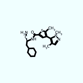 Cc1cnn(C)c1-c1cc(C(=O)N[C@H](CN)CC2CCCCC2)sc1C